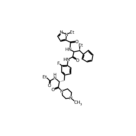 CCC(=O)N[C@H](Cc1ccc(NC(=O)C(NC(=O)c2ccnn2CC)[C@@H](CC)c2ccccc2)c(F)c1)C(=O)N1CCN(C)CC1